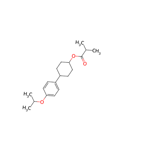 CC(C)Oc1ccc(C2CCC(OC(=O)C(C)C)CC2)cc1